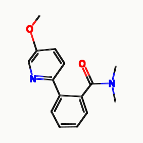 COc1ccc(-c2ccccc2C(=O)N(C)C)nc1